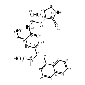 CC(C)C[C@H](NC(=O)[C@H](Cc1cccc2ccccc12)NC(=O)O)C(=O)N[C@H](C=O)C[C@@H]1CCNC1=O